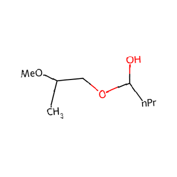 CCCC(O)OCC(C)OC